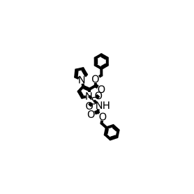 O=C(NS(=O)(=O)n1ccc(-n2cccc2)c1C(=O)OCc1ccccc1)OCc1ccccc1